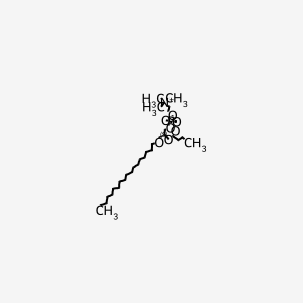 CCCCCCCCCCCCCCCCCCOC[C@@H](COP(=O)([O-])OCC[N+](C)(C)C)OC(=O)CCC